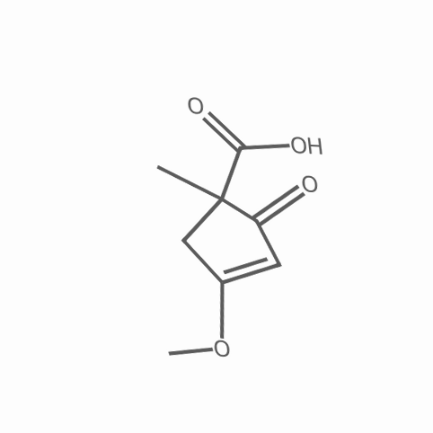 COC1=CC(=O)C(C)(C(=O)O)C1